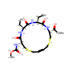 COC(=O)[C@@H]1CSCC=CCSC[C@H](NC(=O)OC(C)(C)C)C(=O)N[C@@H](CC(C)C)C(=O)N[C@@H](CC(C)C)C(=O)N1